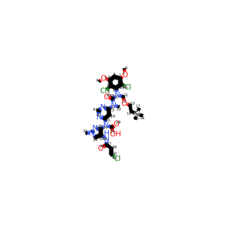 COc1cc(OC)c(Cl)c(N(COCC[Si](C)(C)C)C(=O)N(C)c2cc(N(C(=O)O)c3nn(C)cc3NC(=O)C=CCl)ncn2)c1Cl